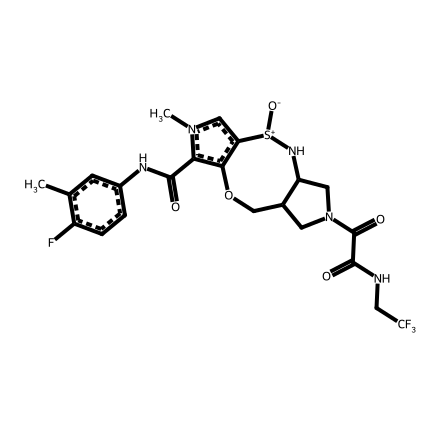 Cc1cc(NC(=O)c2c3c(cn2C)[S+]([O-])NC2CN(C(=O)C(=O)NCC(F)(F)F)CC2CO3)ccc1F